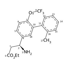 CCOC(=O)C[C@H](N)c1ccc(OC(F)(F)F)c(-c2ccccc2C)c1